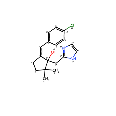 CC1(C)CC/C(=C/c2ccc(Cl)cc2)C1(O)Cc1ncc[nH]1